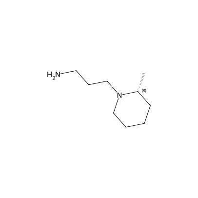 C[C@@H]1CCCCN1CCCN